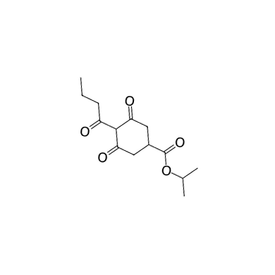 CCCC(=O)C1C(=O)CC(C(=O)OC(C)C)CC1=O